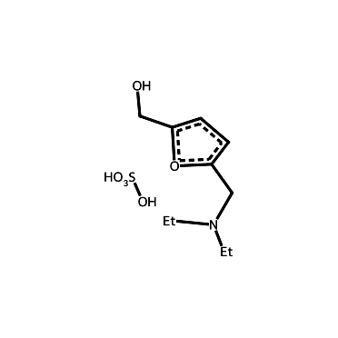 CCN(CC)Cc1ccc(CO)o1.O=S(=O)(O)O